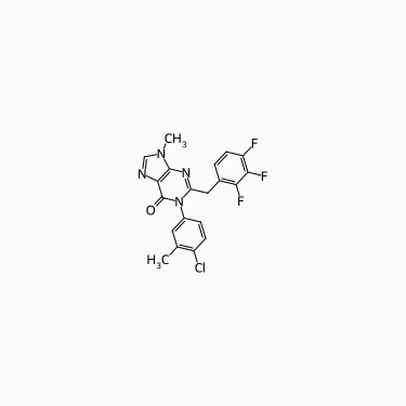 Cc1cc(-n2c(Cc3ccc(F)c(F)c3F)nc3c(ncn3C)c2=O)ccc1Cl